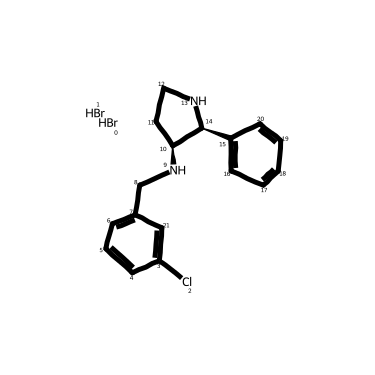 Br.Br.Clc1cccc(CN[C@H]2CCN[C@H]2c2ccccc2)c1